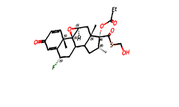 CCC(=O)O[C@]1(C(=O)SCO)[C@H](C)CC2C3C[C@H](F)C4=CC(=O)C=C[C@]4(C)[C@@]34O[C@H]4C[C@@]21C